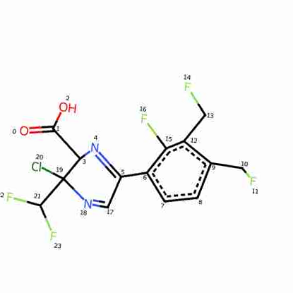 O=C(O)C1N=C(c2ccc(CF)c(CF)c2F)C=NC1(Cl)C(F)F